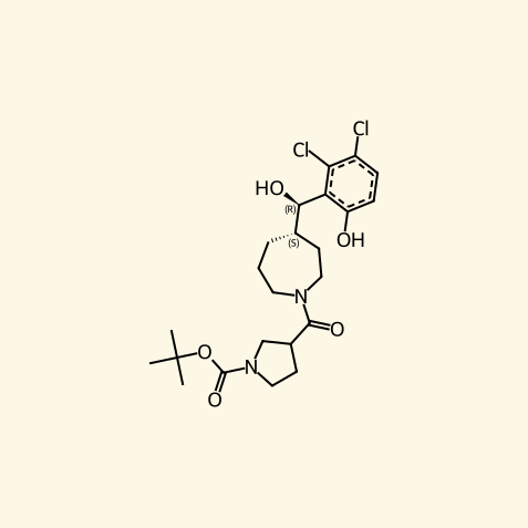 CC(C)(C)OC(=O)N1CCC(C(=O)N2CCC[C@H]([C@@H](O)c3c(O)ccc(Cl)c3Cl)CC2)C1